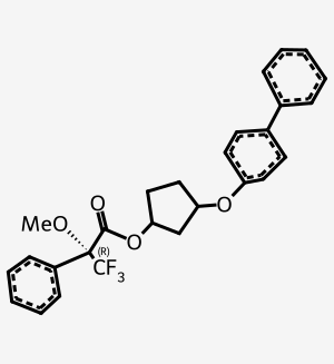 CO[C@@](C(=O)OC1CCC(Oc2ccc(-c3ccccc3)cc2)C1)(c1ccccc1)C(F)(F)F